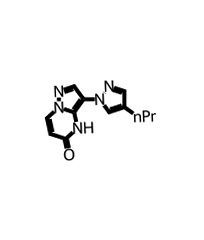 CCCc1cnn(-c2cnn3ccc(=O)[nH]c23)c1